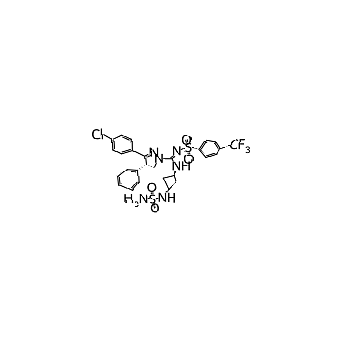 NS(=O)(=O)N[C@H]1C[C@@H](N/C(=N\S(=O)(=O)c2ccc(C(F)(F)F)cc2)N2C[C@H](c3ccccc3)C(c3ccc(Cl)cc3)=N2)C1